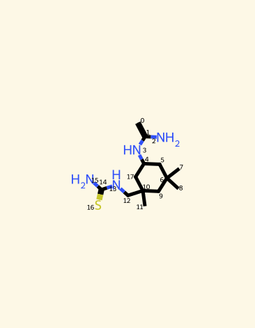 C=C(N)NC1CC(C)(C)CC(C)(CNC(N)=S)C1